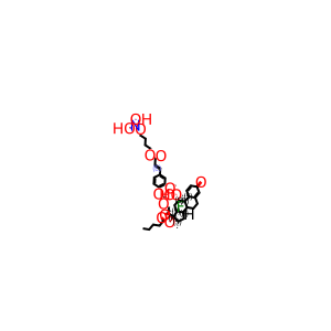 CCCCC(=O)O[C@]1(C(=O)COC(=O)Oc2ccc(/C=C/C(=O)OCCCCON(O)O)cc2OC)[C@@H](C)C[C@H]2C3CCC4=CC(=O)C=C[C@]4(C)[C@@]3(F)[C@@H](O)C[C@@]21C